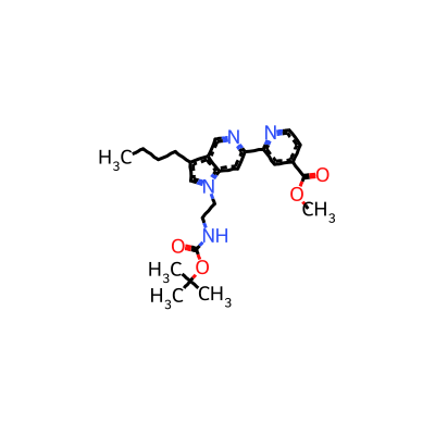 CCCCc1cn(CCNC(=O)OC(C)(C)C)c2cc(-c3cc(C(=O)OC)ccn3)ncc12